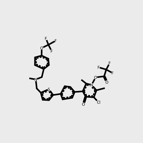 Cc1c(Cl)c(=O)c(-c2ccc(-c3ccc(CN(C)Cc4ccc(OC(F)(F)F)cc4)s3)cc2)c(C)n1OC(=O)C(F)(F)F